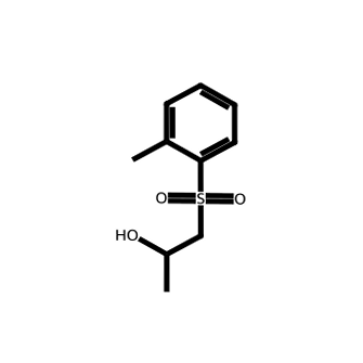 Cc1ccccc1S(=O)(=O)CC(C)O